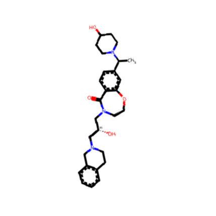 CC(c1ccc2c(c1)OCCN(C[C@H](O)CN1CCc3ccccc3C1)C2=O)N1CCC(O)CC1